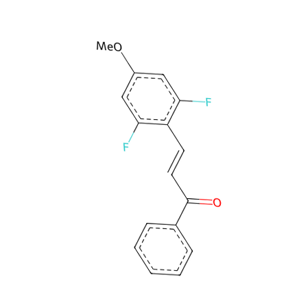 COc1cc(F)c(C=CC(=O)c2ccccc2)c(F)c1